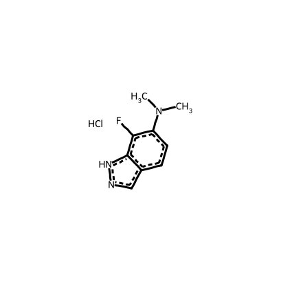 CN(C)c1ccc2cn[nH]c2c1F.Cl